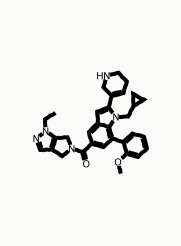 CCn1ncc2c1CN(C(=O)c1cc(-c3ccccc3OC)c3c(c1)cc(C1=CCCNC1)n3CC1CC1)C2